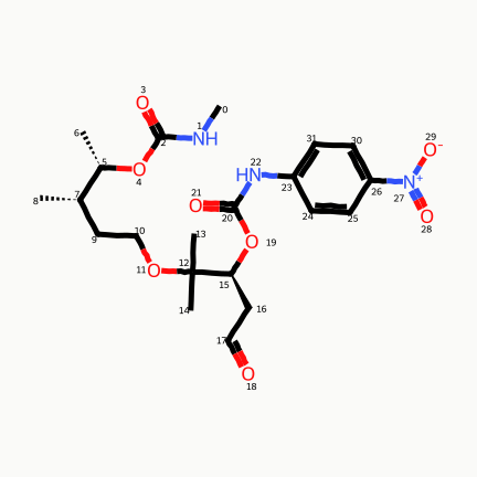 CNC(=O)O[C@@H](C)[C@@H](C)CCOC(C)(C)[C@H](CC=O)OC(=O)Nc1ccc([N+](=O)[O-])cc1